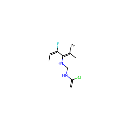 C=C(Cl)NCNC(/C(F)=C\C)=C(\C)C(C)C